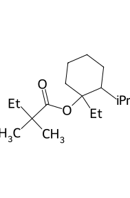 CCC(C)(C)C(=O)OC1(CC)CCCCC1C(C)C